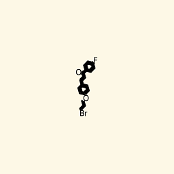 O=C(/C=C/c1ccc(OCCCBr)cc1)c1ccc(F)cc1